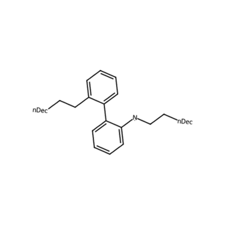 CCCCCCCCCCCC[N]c1ccccc1-c1ccccc1CCCCCCCCCCCC